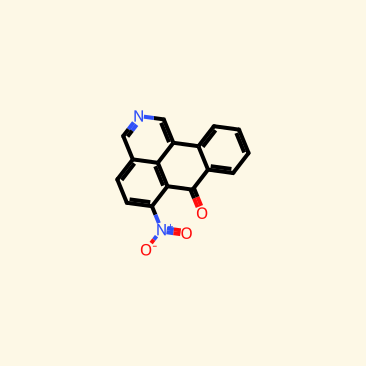 O=C1c2ccccc2-c2cncc3ccc([N+](=O)[O-])c1c23